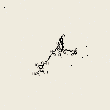 CC(C)[C@H](NC(=O)CCCCCN1C(=O)C=CC1=O)C(=O)N[C@@H](CCCCNC(=O)COCCOCCNC(=O)CN(CCN(CC(=O)O)CC(=O)O)CC(=O)O)C(=O)Nc1ccc(CO)cc1